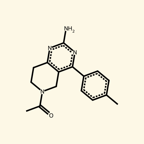 CC(=O)N1CCc2nc(N)nc(-c3ccc(C)cc3)c2C1